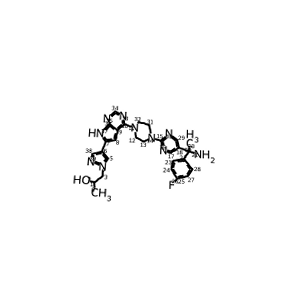 CC(O)Cn1cc(-c2cc3c(N4CCN(c5ncc(C(C)(N)c6ccc(F)cc6)cn5)CC4)ncnc3[nH]2)cn1